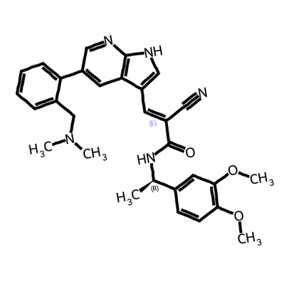 COc1ccc([C@@H](C)NC(=O)/C(C#N)=C/c2c[nH]c3ncc(-c4ccccc4CN(C)C)cc23)cc1OC